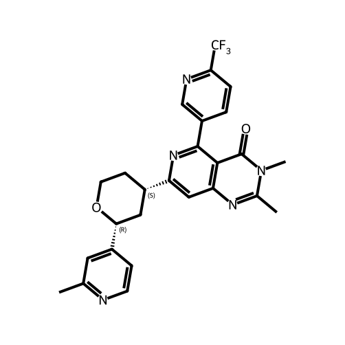 Cc1cc([C@H]2C[C@@H](c3cc4nc(C)n(C)c(=O)c4c(-c4ccc(C(F)(F)F)nc4)n3)CCO2)ccn1